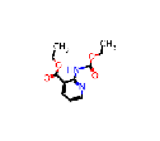 CCOC(=O)Nc1ncccc1C(=O)OCC